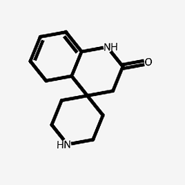 O=C1CC2(CCNCC2)C2CC=CC=C2N1